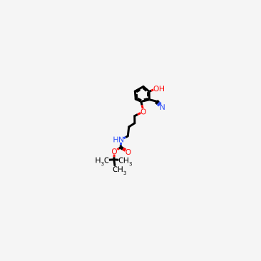 CC(C)(C)OC(=O)NCCCCOc1cccc(O)c1C#N